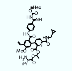 C=Cc1cc(C(=O)Nc2ccc(C(=N)NC(=O)OCCCCCC)cc2)c(-c2ccc(C(=O)NCC3CC3)nc2C(=O)OC(C)OC(=O)[C@@H](N)C(C)C)cc1OC